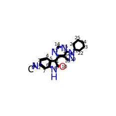 [C-]#[N+]c1ccc2c(c1)NC(=O)C2c1ncnc2c1cnn2C1CCCCC1